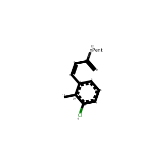 C=C(/C=C\c1cccc(Cl)c1C)CCCCC